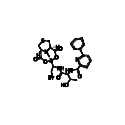 CC(C)CC(NC(=O)C(NC(=O)c1cccc(-c2ccccc2)n1)C(C)O)B1OC(=O)[C@@H]2CSC[C@@H](C(=O)O1)N2C